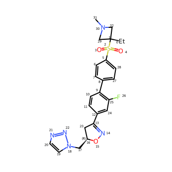 CCC1(S(=O)(=O)c2ccc(-c3ccc(C4=NO[C@@H](Cn5ccnn5)C4)cc3F)cc2)CN(C)C1